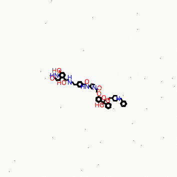 O=C(N[C@@H]1CCN(C(=O)COc2cccc([C@](O)(C(=O)OCC3CCN(Cc4ccccc4)CC3)c3ccccc3)c2)C1)c1ccc(CCNC[C@H](O)c2ccc(O)c3[nH]c(=O)ccc23)cc1